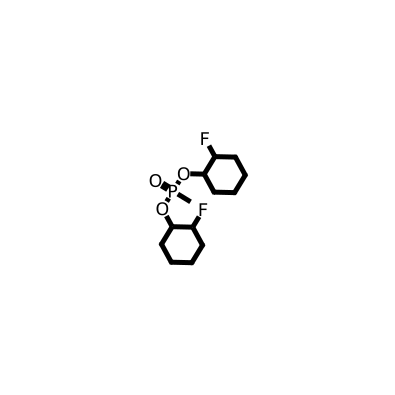 CP(=O)(OC1CCCCC1F)OC1CCCCC1F